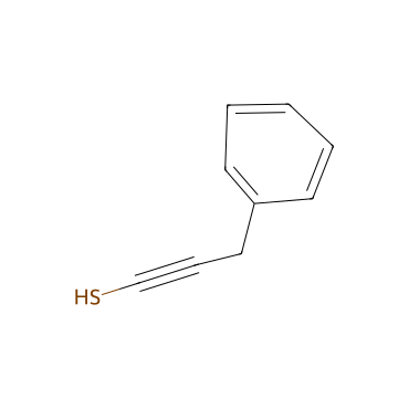 SC#CCc1ccccc1